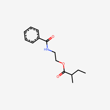 CCC(C)C(=O)OCCNC(=O)c1ccccc1